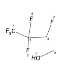 CO.FCC(F)(F)C(F)(F)F